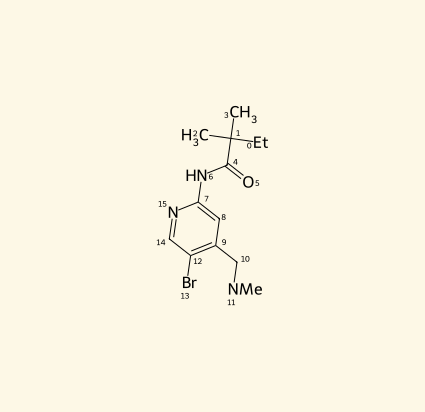 CCC(C)(C)C(=O)Nc1cc(CNC)c(Br)cn1